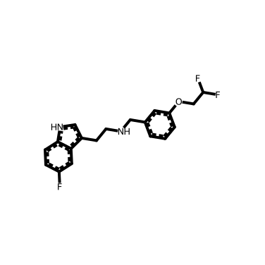 Fc1ccc2[nH]cc(CCNCc3cccc(OCC(F)F)c3)c2c1